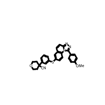 COc1ccc(-c2nnc3ccc4cc(Sc5cccc(C6(C#N)CCOCC6)c5)ccc4n23)cc1